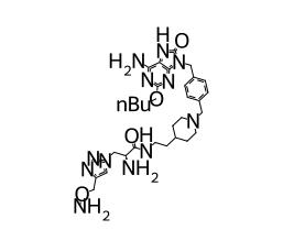 CCCCOc1nc(N)c2[nH]c(=O)n(Cc3ccc(CN4CCC(CCNC(=O)[C@@H](N)Cn5cc(CON)nn5)CC4)cc3)c2n1